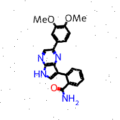 COc1ccc(-c2cnc3[nH]cc(-c4ccccc4C(N)=O)c3n2)cc1OC